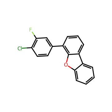 Fc1cc(-c2cccc3c2oc2ccccc23)ccc1Cl